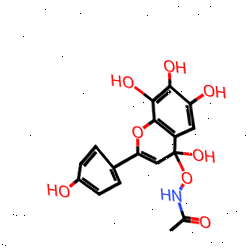 CC(=O)NOC1(O)C=C(c2ccc(O)cc2)Oc2c1cc(O)c(O)c2O